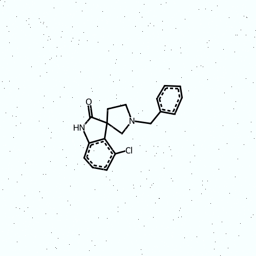 O=C1Nc2cccc(Cl)c2C12CCN(Cc1ccccc1)C2